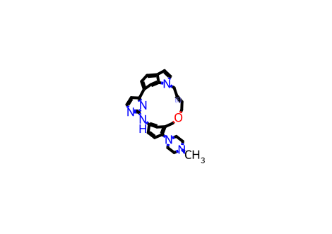 CN1CCN(c2ccc3cc2COC/C=C/Cn2ccc4ccc(cc42)-c2ccnc(n2)N3)CC1